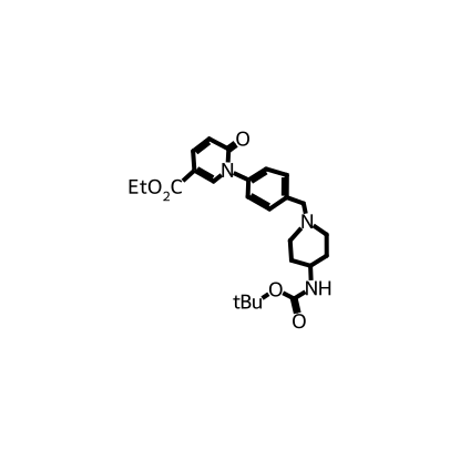 CCOC(=O)c1ccc(=O)n(-c2ccc(CN3CCC(NC(=O)OC(C)(C)C)CC3)cc2)c1